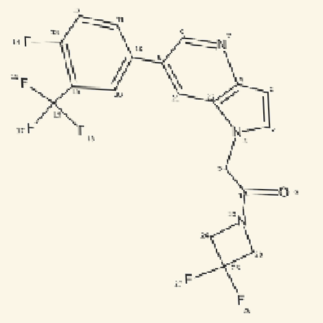 O=C(Cn1ccc2ncc(-c3ccc(F)c(C(F)(F)F)c3)cc21)N1CC(F)(F)C1